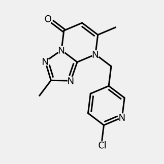 Cc1nc2n(Cc3ccc(Cl)nc3)c(C)cc(=O)n2n1